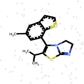 Cc1cc(C2=C(C(C)C)SC3=NCCN32)c2sccc2c1